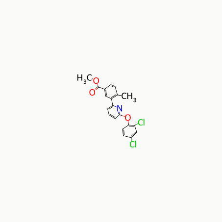 COC(=O)c1ccc(C)c(-c2cccc(Oc3ccc(Cl)cc3Cl)n2)c1